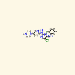 CN1CCN(c2ccc(Nc3ncc(Cl)c(Nc4ccccc4F)n3)nc2)CC1